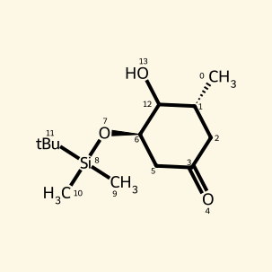 C[C@@H]1CC(=O)C[C@@H](O[Si](C)(C)C(C)(C)C)C1O